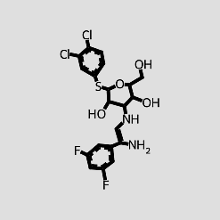 N/C(=C\NC1C(O)C(CO)OC(Sc2ccc(Cl)c(Cl)c2)C1O)c1cc(F)cc(F)c1